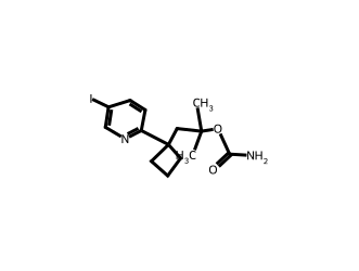 CC(C)(CC1(c2ccc(I)cn2)CCC1)OC(N)=O